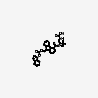 CC(C)(C)C(CNC(=O)O)NC(=O)c1cccc2c1-c1ccccc1C2COC(=O)On1nnc2ccccc21